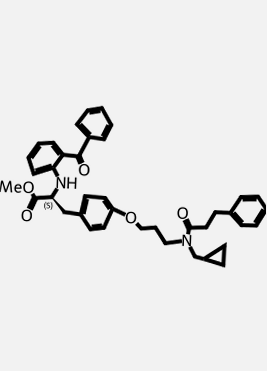 COC(=O)[C@H](Cc1ccc(OCCCN(CC2CC2)C(=O)CCc2ccccc2)cc1)Nc1ccccc1C(=O)c1ccccc1